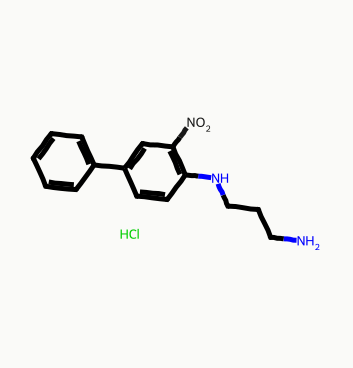 Cl.NCCCNc1ccc(-c2ccccc2)cc1[N+](=O)[O-]